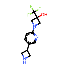 OC1(C(F)(F)F)CN(c2ccc(C3CNC3)cn2)C1